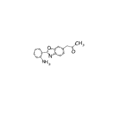 CC(=O)Cc1ccc2nc(-c3ccccc3N)oc2c1